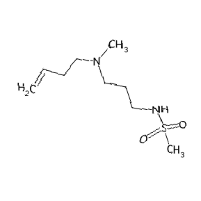 C=CCCN(C)CCCNS(C)(=O)=O